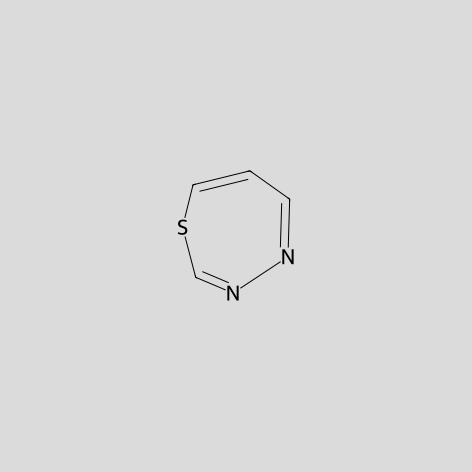 C1=CSC=NN=C1